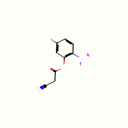 N#CCC(=O)Oc1cc(Br)ccc1[N+](=O)[O-]